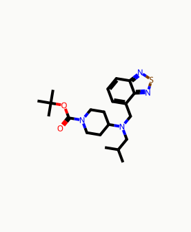 CC(C)CN(Cc1cccc2nsnc12)C1CCN(C(=O)OC(C)(C)C)CC1